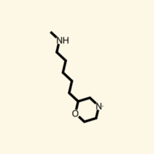 CNCCCCCC1C[N]CCO1